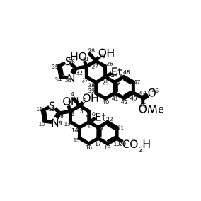 CCC12CC(C)(O)C(O)(c3nccs3)CC1CCc1cc(C(=O)O)ccc12.CCC12CC(C)(O)C(O)(c3nccs3)CC1CCc1cc(C(=O)OC)ccc12